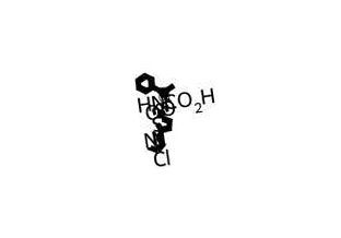 CC1C(c2ccccc2)[C@]1(NS(=O)(=O)c1ccc(-n2cc(Cl)cn2)s1)C(=O)O